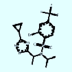 CC(C)N(C(C)c1nnc(C2CC2)o1)S(=O)(=O)c1ccc(C(F)(F)F)cc1Br